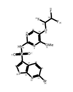 COc1nc(NS(=O)(=O)c2csc3nc(Br)ccc23)ncc1OC(F)C(F)F